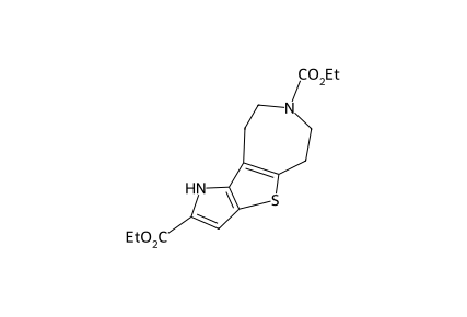 CCOC(=O)c1cc2sc3c(c2[nH]1)CCN(C(=O)OCC)CC3